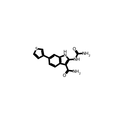 NC(=O)Nc1[nH]c2cc(-c3ccsc3)ccc2c1C(N)=O